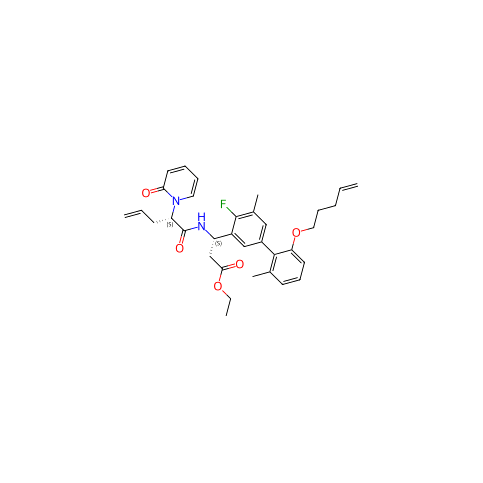 C=CCCCOc1cccc(C)c1-c1cc(C)c(F)c([C@H](CC(=O)OCC)NC(=O)[C@H](CC=C)n2ccccc2=O)c1